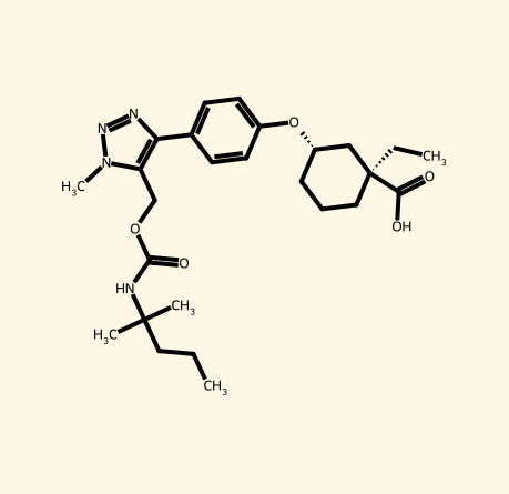 CCCC(C)(C)NC(=O)OCc1c(-c2ccc(O[C@H]3CCC[C@](CC)(C(=O)O)C3)cc2)nnn1C